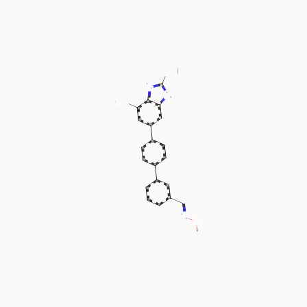 CCO/N=C/c1cccc(-c2ccc(-c3cc(C(=O)O)c4nc(C)[nH]c4c3)cc2)c1